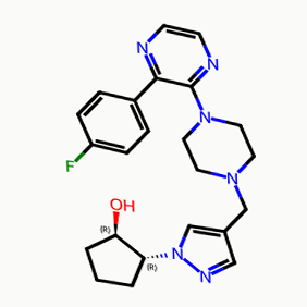 O[C@@H]1CCC[C@H]1n1cc(CN2CCN(c3nccnc3-c3ccc(F)cc3)CC2)cn1